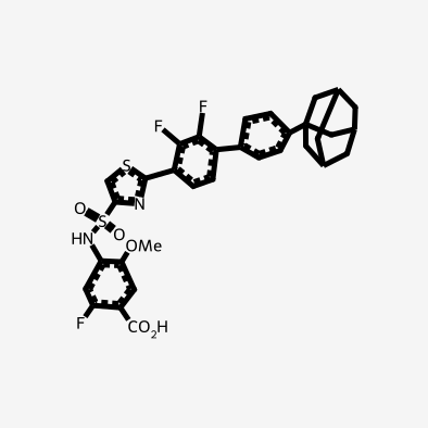 COc1cc(C(=O)O)c(F)cc1NS(=O)(=O)c1csc(-c2ccc(-c3ccc(C45CC6CC(CC(C6)C4)C5)cc3)c(F)c2F)n1